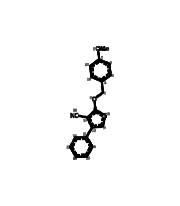 COc1ccc(COc2scc(-c3ccccc3)c2C#N)cc1